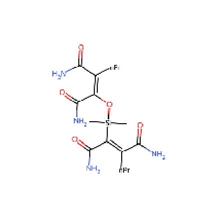 CCCC(C(N)=O)=C(O[Si](C)(C)C(C(N)=O)=C(CCC)C(N)=O)C(N)=O